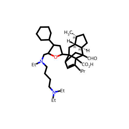 CCN(CC)CCCCN(CC)CC1OC(C23C[C@@H]4[C@H](C)CC[C@H]4C4(C=O)CC2C=C(C(C)C)C34C(=O)O)CC1C1CCCCC1